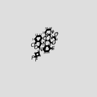 O=C(NC1CC(F)(F)C1)[C@H](c1ccccc1Cl)N(C(=O)[C@@H]1COCC(=O)N1c1ncccn1)c1cccc(F)c1